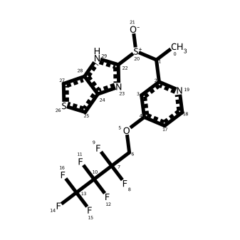 CC(c1cc(OCC(F)(F)C(F)(F)C(F)(F)F)ccn1)[S+]([O-])c1nc2cscc2[nH]1